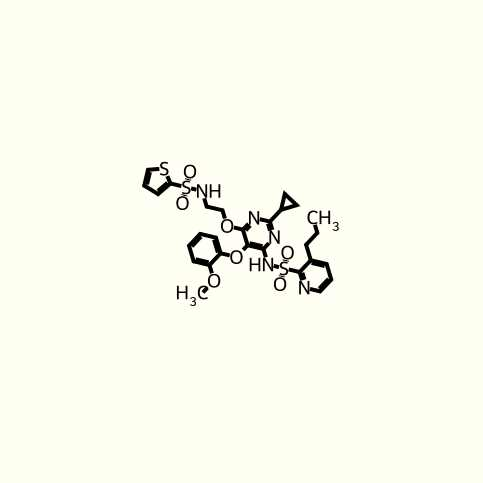 CCCc1cccnc1S(=O)(=O)Nc1nc(C2CC2)nc(OCCNS(=O)(=O)c2cccs2)c1Oc1ccccc1OC